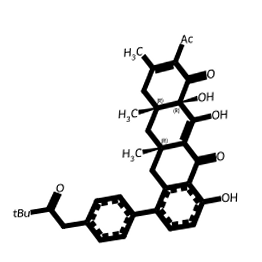 CC(=O)C1=C(C)C[C@@]2(C)C[C@@]3(C)Cc4c(-c5ccc(CC(=O)C(C)(C)C)cc5)ccc(O)c4C(=O)C3=C(O)[C@@]2(O)C1=O